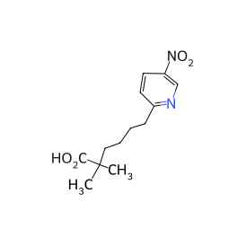 CC(C)(CCCCc1ccc([N+](=O)[O-])cn1)C(=O)O